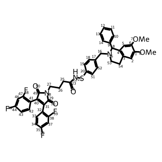 COc1cc2c(cc1OC)C(c1ccccc1)N(Cc1ccc(SNC(=O)CCCN3C(=O)C(c4ccc(F)cc4F)=C(c4ccc(F)cc4F)C3=O)cc1)CC2